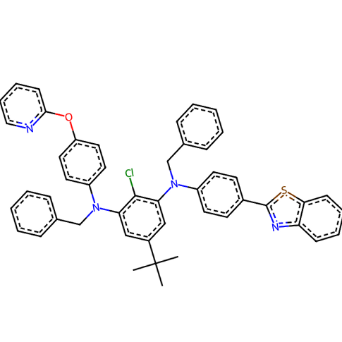 CC(C)(C)c1cc(N(Cc2ccccc2)c2ccc(Oc3ccccn3)cc2)c(Cl)c(N(Cc2ccccc2)c2ccc(-c3nc4ccccc4s3)cc2)c1